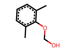 Cc1cccc(C)c1OCO